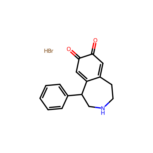 Br.O=C1C=C2CCNCC(c3ccccc3)C2=CC1=O